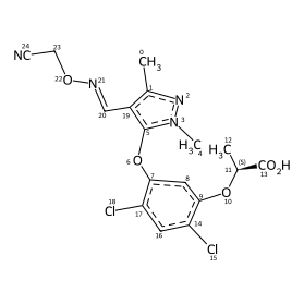 Cc1nn(C)c(Oc2cc(O[C@@H](C)C(=O)O)c(Cl)cc2Cl)c1C=NOCC#N